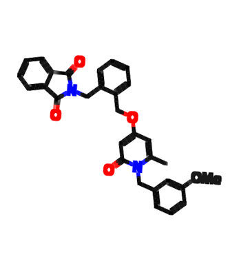 COc1cccc(Cn2c(C)cc(OCc3ccccc3CN3C(=O)c4ccccc4C3=O)cc2=O)c1